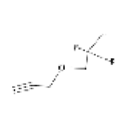 C#CCOCC([CH2])(F)F